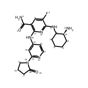 NC(=O)c1cc(F)c(NC2CCCC[C@@H]2N)nc1Nc1ccnc(N2CCCC2=O)c1